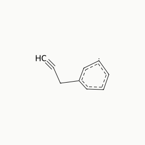 C#CCc1c[c]ccc1